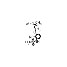 COC(C)(C)CCOc1cccc(NS(N)(=O)=O)c1C#N